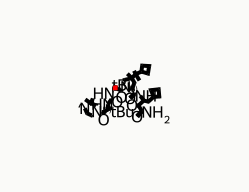 CN1CCN(C(=O)[C@@H](NC(=O)N[C@@H](C(=O)N2CC(C)(C(C)(C)C3CCC3)C[C@H]2C(=O)NC(CC2CCC2)C(=O)C(N)=O)C(C)(C)C)C(C)(C)C)CC1(C)C